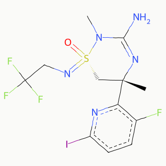 CN1C(N)=N[C@](C)(c2nc(I)ccc2F)C[S@@]1(=O)=NCC(F)(F)F